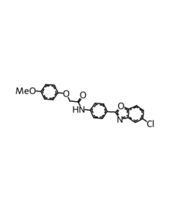 COc1ccc(OCC(=O)Nc2ccc(-c3nc4cc(Cl)ccc4o3)cc2)cc1